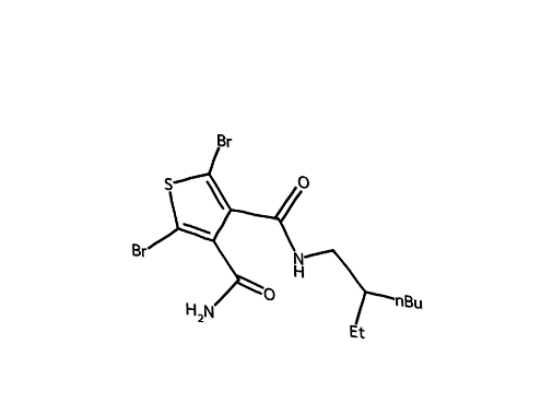 CCCCC(CC)CNC(=O)c1c(Br)sc(Br)c1C(N)=O